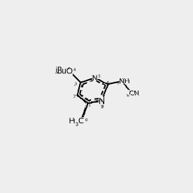 Cc1cc(OCC(C)C)nc(NC#N)n1